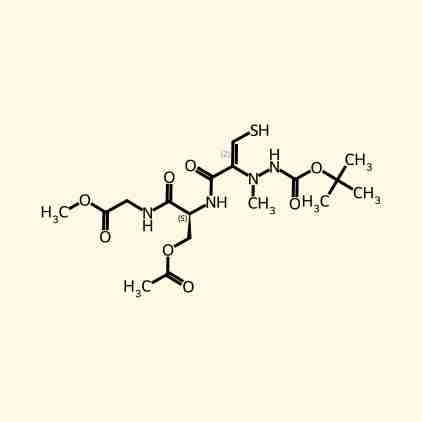 COC(=O)CNC(=O)[C@H](COC(C)=O)NC(=O)/C(=C/S)N(C)NC(=O)OC(C)(C)C